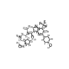 COc1ccc(-c2nc3c(C(=O)N(CCN(C)[C@@H](CO)c4cc(C)cs4)C(C)C)cnn3c(C(F)(F)F)c2C)cc1